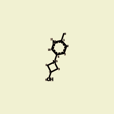 Cc1ccc(N2CC(O)C2)cn1